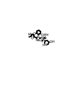 COc1cccc(OC)c1-n1c(NS(=O)(=O)[C@@H]2CNC[C@H](O)C2)nnc1-c1ccc(C)o1